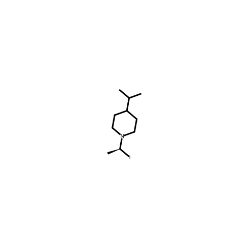 CC(C)C1CCN([C@H](C)I)CC1